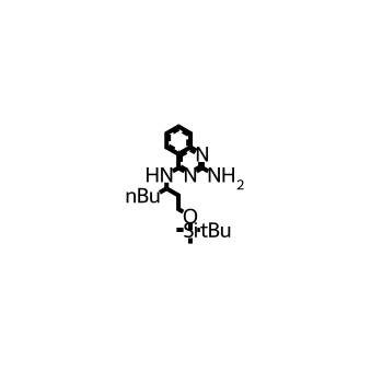 CCCCC(CCO[Si](C)(C)C(C)(C)C)Nc1nc(N)nc2ccccc12